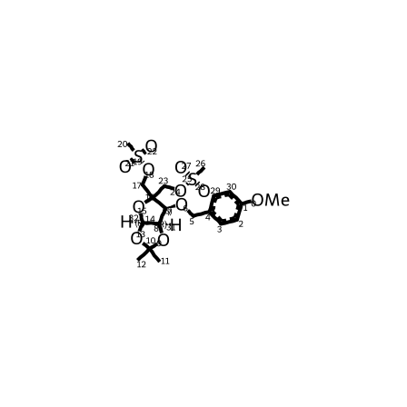 COc1ccc(CO[C@H]2[C@H]3OC(C)(C)O[C@H]3OC2(COS(C)(=O)=O)COS(C)(=O)=O)cc1